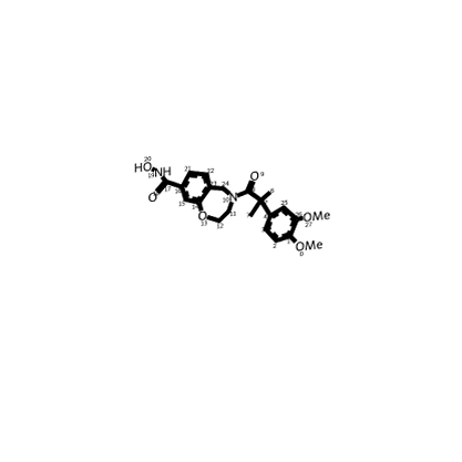 COc1ccc(C(C)(C)C(=O)N2CCOc3cc(C(=O)NO)ccc3C2)cc1OC